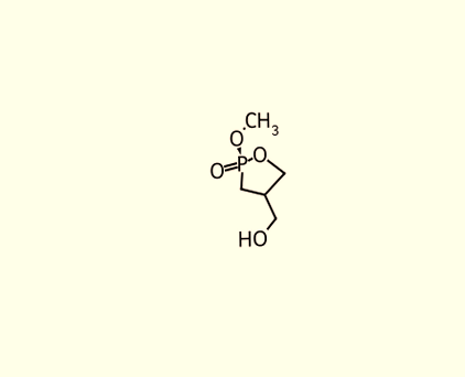 CO[P@]1(=O)CC(CO)CO1